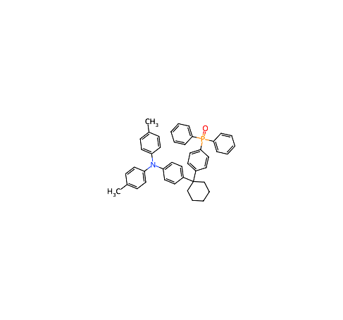 Cc1ccc(N(c2ccc(C)cc2)c2ccc(C3(c4ccc(P(=O)(c5ccccc5)c5ccccc5)cc4)CCCCC3)cc2)cc1